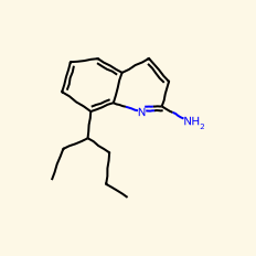 CCCC(CC)c1cccc2ccc(N)nc12